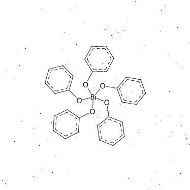 c1ccc([O][Bi]([O]c2ccccc2)([O]c2ccccc2)([O]c2ccccc2)[O]c2ccccc2)cc1